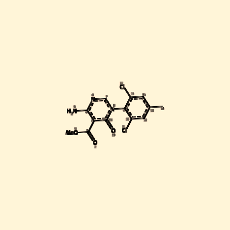 COC(=O)c1c(N)ncn(-c2c(Cl)cc(C)cc2Cl)c1=O